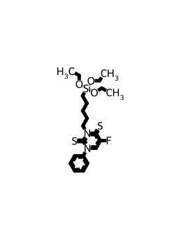 CCO[Si](CCCCCn1c(=S)c(F)cn(-c2ccccc2)c1=S)(OCC)OCC